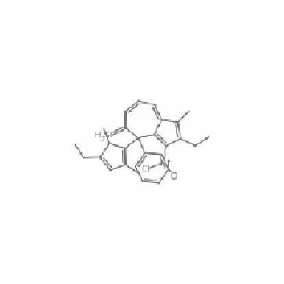 CCC1=CC(C)=C(C2(c3ccccc3)C(=[SiH2])C=CC=C3C(C)=C(CC)[C]([Hf]([Cl])[Cl])=C32)C1C